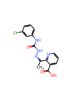 CC(=NNC(=O)Nc1cccc(Cl)c1)c1ncccc1C(=O)O